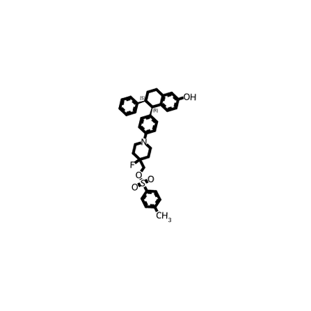 Cc1ccc(S(=O)(=O)OCC2(F)CCN(c3ccc([C@@H]4c5ccc(O)cc5CC[C@@H]4c4ccccc4)cc3)CC2)cc1